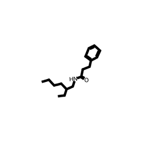 CCCCC(CC)CNC(=O)CCc1ccccc1